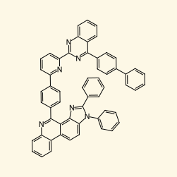 c1ccc(-c2ccc(-c3nc(-c4cccc(-c5ccc(-c6nc7ccccc7c7ccc8c(nc(-c9ccccc9)n8-c8ccccc8)c67)cc5)n4)nc4ccccc34)cc2)cc1